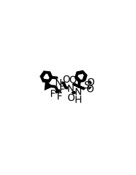 O=C1NC2(CS(=O)(=O)c3ccccc32)C(=O)N1CC(=O)N(Cc1ccccc1)C(C1CC1)C(F)(F)F